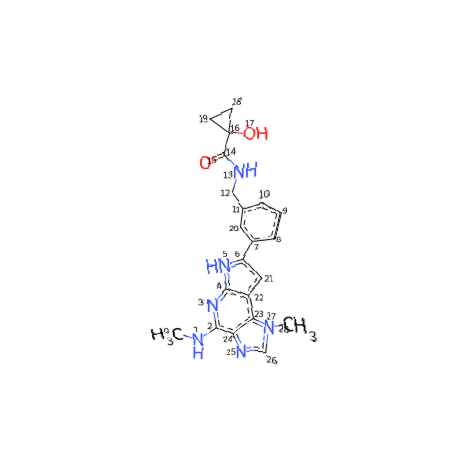 CNc1nc2[nH]c(-c3cccc(CNC(=O)C4(O)CC4)c3)cc2c2c1ncn2C